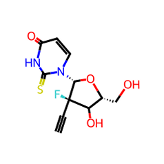 C#C[C@@]1(F)C(O)[C@@H](CO)O[C@H]1n1ccc(=O)[nH]c1=S